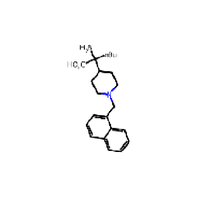 BC(CCCC)(C(=O)O)C1CCN(Cc2cccc3ccccc23)CC1